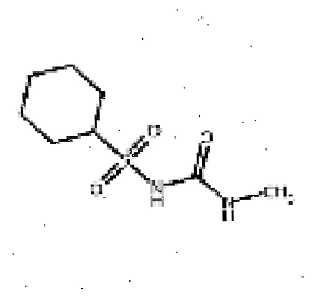 CNC(=O)NS(=O)(=O)C1CCCCC1